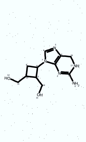 NC1=Nc2c(ncn2C2CC(CO)C2CO)CN1